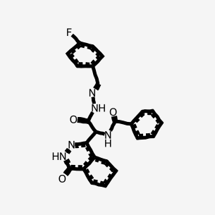 O=C(NC(C(=O)NN=Cc1ccc(F)cc1)c1n[nH]c(=O)c2ccccc12)c1ccccc1